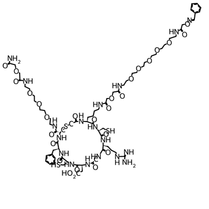 N=C(N)NCCC[C@@H]1NC(=O)[C@H](CS)NC(=O)[C@H](CCCCNC(=O)COCC(=O)NCCOCCOCCOCCOCCOCCNC(=O)CO/N=C/c2ccccc2)NC(=O)CSC[C@@H](C(=O)NCCOCCOCCOCCNC(=O)COCC(N)=O)NC(=O)[C@H](Cc2ccccc2)NC(=O)[C@H](CS)NC(=O)[C@H](CC(=O)O)NC(=O)CNC1=O